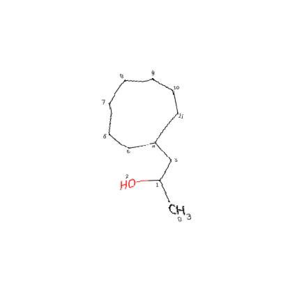 CC(O)CC1CCCCCCC1